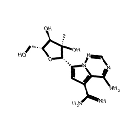 C[C@@]1(O)[C@H](O)[C@@H](CO)O[C@H]1c1cc(C(=N)N)c2c(N)ncnn12